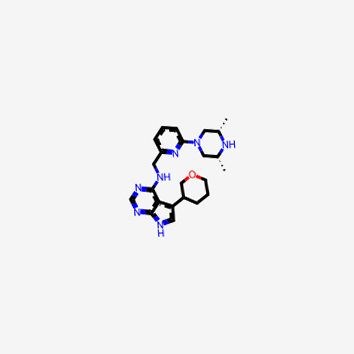 C[C@@H]1CN(c2cccc(CNc3ncnc4[nH]cc(C5CCCOC5)c34)n2)C[C@H](C)N1